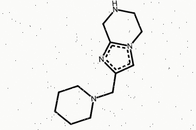 c1c(CN2CCCCC2)nc2n1CCNC2